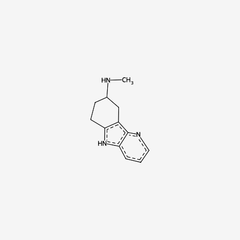 CNC1CCc2[nH]c3cccnc3c2C1